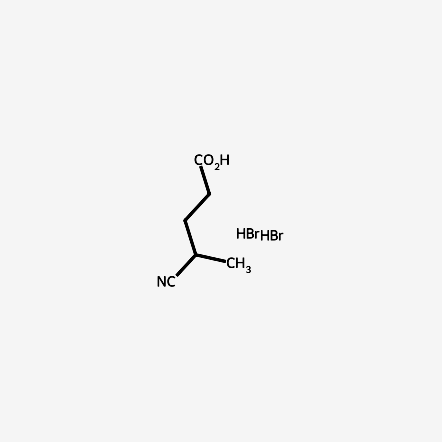 Br.Br.CC(C#N)CCC(=O)O